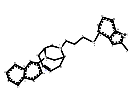 Cc1cc2c(OCCCN3CC4C/C=C\CC3CN4c3ccc4ccccc4c3)cccc2[nH]1